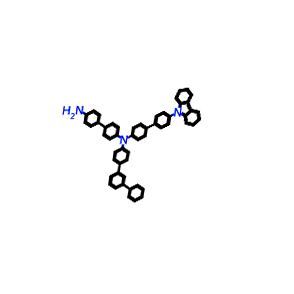 Nc1ccc(-c2ccc(N(c3ccc(-c4ccc(-n5c6ccccc6c6ccccc65)cc4)cc3)c3ccc(-c4cccc(-c5ccccc5)c4)cc3)cc2)cc1